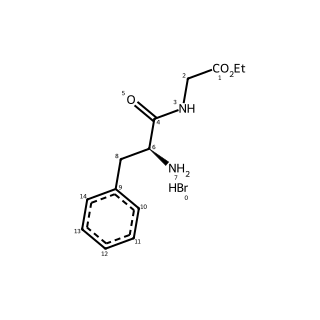 Br.CCOC(=O)CNC(=O)[C@@H](N)Cc1ccccc1